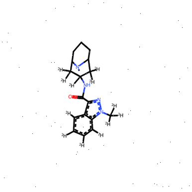 [2H]c1c([2H])c([2H])c2c(c(C(=O)NC3([2H])C([2H])([2H])C4CCCC(N4C)C3([2H])[2H])nn2C([2H])([2H])[2H])c1[2H]